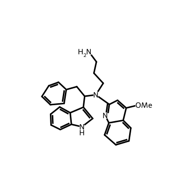 COc1cc(N(CCCN)C(Cc2ccccc2)c2c[nH]c3ccccc23)nc2ccccc12